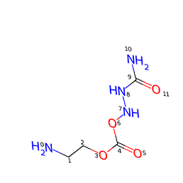 NCCOC(=O)ONNC(N)=O